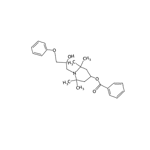 CC1(C)CC(OC(=O)c2ccccc2)CC(C)(C)N1CC(O)COc1ccccc1